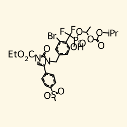 CCOC(=O)n1cc(-c2ccc(S(C)(=O)=O)cc2)n(Cc2ccc(C(F)(F)P(=O)(O)OC(C)OC(=O)OC(C)C)c(Br)c2)c1=O